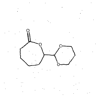 O=C1CCCCC(C2OCCCO2)O1